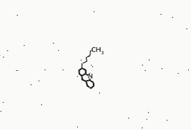 CCCCCCc1ccc2cc3ccccc3nc2c1